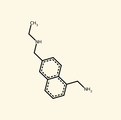 CCNCc1ccc2c(CN)cccc2c1